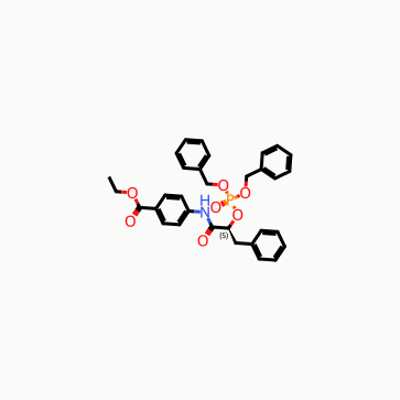 CCOC(=O)c1ccc(NC(=O)[C@H](Cc2ccccc2)OP(=O)(OCc2ccccc2)OCc2ccccc2)cc1